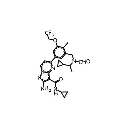 Cc1c(CN(C=O)C(C)C2CC2)cc(-c2ccn3nc(N)c(C(=O)NC4CC4)c3n2)cc1OCC(F)(F)F